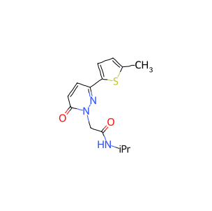 Cc1ccc(-c2ccc(=O)n(CC(=O)NC(C)C)n2)s1